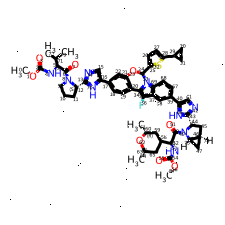 COC(=O)N[C@H](C(=O)N1CCC[C@H]1c1ncc(-c2ccc3c(c2)OC(c2ccc(C4CC4)s2)n2c-3c(F)c3cc(-c4cnc([C@@H]5C[C@H]6C[C@H]6N5C(=O)[C@@H](NC(=O)OC)C5C[C@@H](C)O[C@@H](C)C5)[nH]4)ccc32)[nH]1)C(C)C